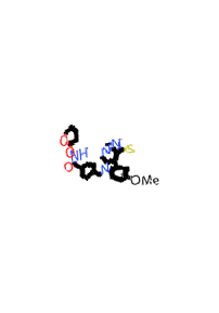 COc1ccc2c(c1)c1c(n2Cc2ccc(C(=O)NOC3CCCCO3)cc2)CN2CC1C(=S)N(C)C2